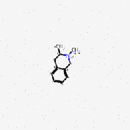 [CH2]C1Cc2ccccc2CN1C